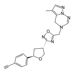 C#Cc1ccc([C@H]2C[C@H](c3noc(CN4C=Nn5ncc(C)c5C4)n3)CO2)cc1